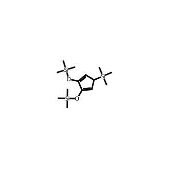 C[Si](C)(C)OC1=CC([Si](C)(C)C)C=C1O[Si](C)(C)C